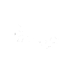 N#Cc1ccc2[nH]cc(CCCCNCc3ccc4ccccc4n3)c2c1